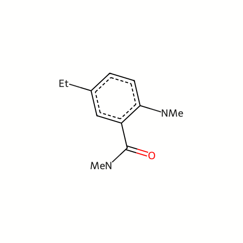 CCc1ccc(NC)c(C(=O)NC)c1